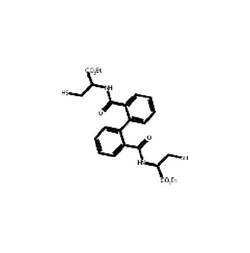 CCOC(=O)C(CS)NC(=O)c1ccccc1-c1ccccc1C(=O)NC(CS)C(=O)OCC